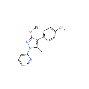 CCOc1nn(-c2ccccn2)c(C)c1-c1ccc(C(F)(F)F)cc1